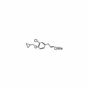 CO/C=C/Cc1ccc(OCC2CC2)c(Cl)c1